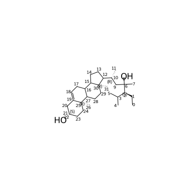 CC[C@@H](C(C)C)C(C)(O)C[C@@H](C)C1CCC2C3CC=C4C[C@@H](O)CC[C@]4(C)C3CC[C@@]21C